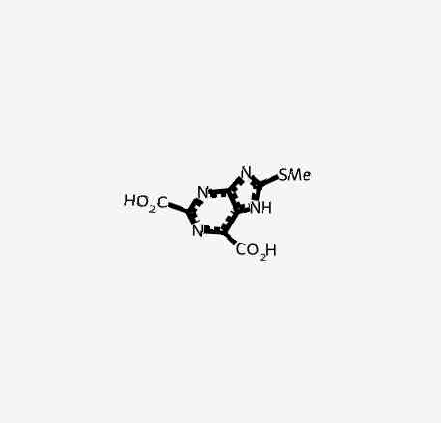 CSc1nc2nc(C(=O)O)nc(C(=O)O)c2[nH]1